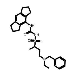 CCN(CCC(C)S(=O)(=O)NC(=O)Nc1c2c(cc3c1CCC3)CCC2)Cc1ccccc1